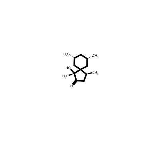 C[C@@H]1C[C@H](C)CC2(C1)[C@@H](C)CC(=O)[C@]2(C)O